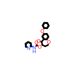 O=C(Nc1ccccn1)OC1CCOc2ccc(Oc3ccccc3)cc2C1=O